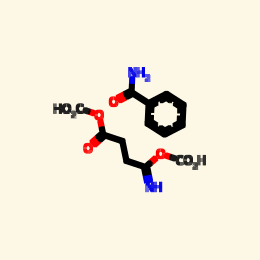 N=C(CCC(=O)OC(=O)O)OC(=O)O.NC(=O)c1ccccc1